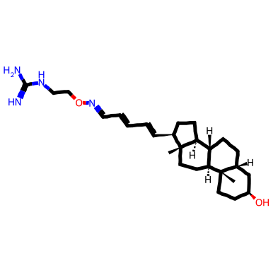 C[C@]12CC[C@H](O)C[C@H]1CC[C@@H]1[C@@H]2CC[C@]2(C)[C@@H](/C=C/C=C/C=N/OCCNC(=N)N)CC[C@@H]12